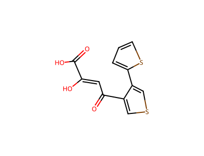 O=C(O)C(O)=CC(=O)c1cscc1-c1cccs1